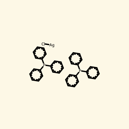 [Cl][Ag].c1ccc(P(c2ccccc2)c2ccccc2)cc1.c1ccc(P(c2ccccc2)c2ccccc2)cc1